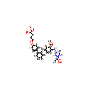 COC(=O)CCCOc1ccc(-c2ccccc2Cc2ccc(CN3CCN(C(C)=O)C3)c(OC)c2)cc1